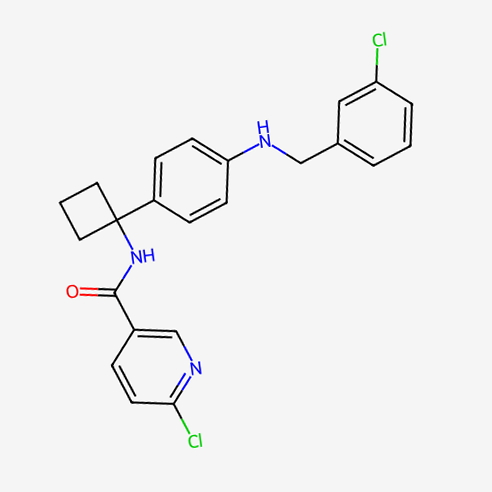 O=C(NC1(c2ccc(NCc3cccc(Cl)c3)cc2)CCC1)c1ccc(Cl)nc1